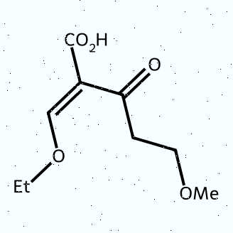 CCO/C=C(/C(=O)O)C(=O)CCOC